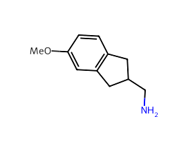 COc1ccc2c(c1)CC(CN)C2